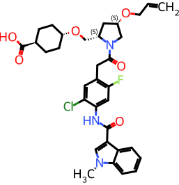 C=CCO[C@H]1C[C@@H](CO[C@H]2CC[C@H](C(=O)O)CC2)N(C(=O)Cc2cc(Cl)c(NC(=O)c3cn(C)c4ccccc34)cc2F)C1